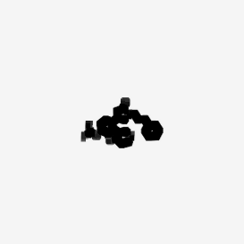 O=C1CC(c2ccc(OC(F)F)c3oc4ccncc4c23)CN1CCCc1ccccc1